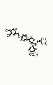 CN(C)CCN(c1ccc(C(=O)O)cc1)c1nc(-c2ccc(OCc3ccc(Cl)c(Cl)c3)cc2)cs1